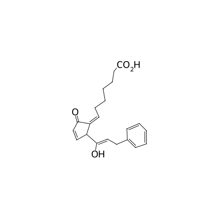 O=C(O)CCCCCC=C1C(=O)C=CC1C(O)=CCc1ccccc1